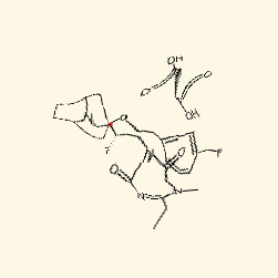 Cc1nc(=O)n(C[C@H](F)CN2C3CCC2CC(OCc2ccc(F)cc2)C3)c(=O)n1C.O=C(O)C(=O)O